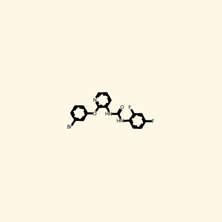 O=C(Nc1ccc(F)cc1F)Nc1cccnc1Oc1cccc(Br)c1